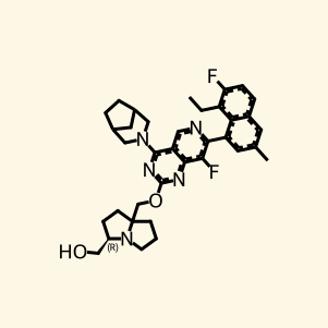 CCc1c(F)ccc2cc(C)cc(-c3ncc4c(N5CC6CCC(C6)C5)nc(OCC56CCCN5[C@@H](CO)CC6)nc4c3F)c12